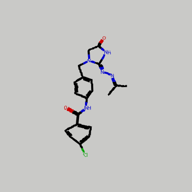 CC(C)=NN=C1NC(=O)CN1Cc1ccc(NC(=O)c2ccc(Cl)cc2)cc1